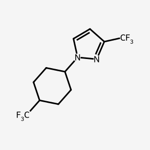 FC(F)(F)c1ccn(C2CCC(C(F)(F)F)CC2)n1